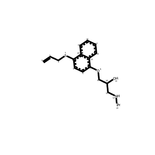 C=CCSc1ccc(OCC(O)CNC(C)C)c2ccccc12